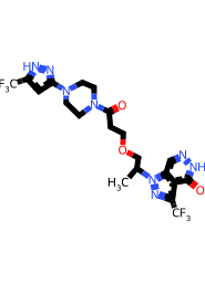 CC(COCCC(=O)N1CCN(c2cc(C(F)(F)F)[nH]n2)CC1)n1nc(C(F)(F)F)c2c(=O)[nH]ncc21